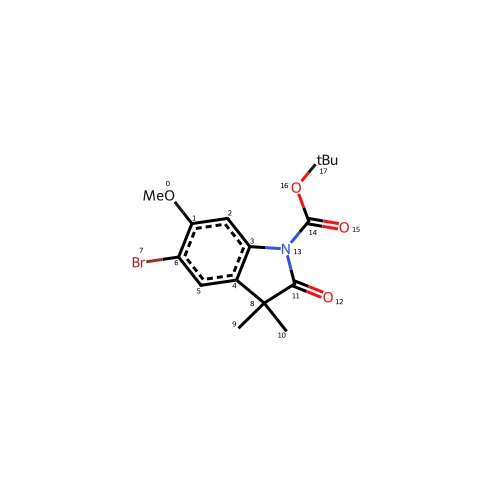 COc1cc2c(cc1Br)C(C)(C)C(=O)N2C(=O)OC(C)(C)C